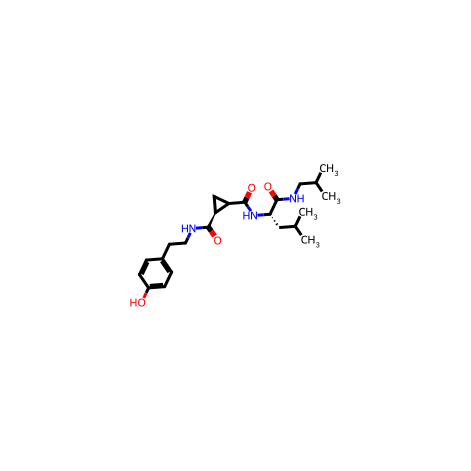 CC(C)CNC(=O)[C@H](CC(C)C)NC(=O)C1C[C@@H]1C(=O)NCCc1ccc(O)cc1